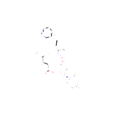 ClC(C=Cc1cccnc1)=NOCCCN1CCCCC1.O=C(O)C=CC(=O)O